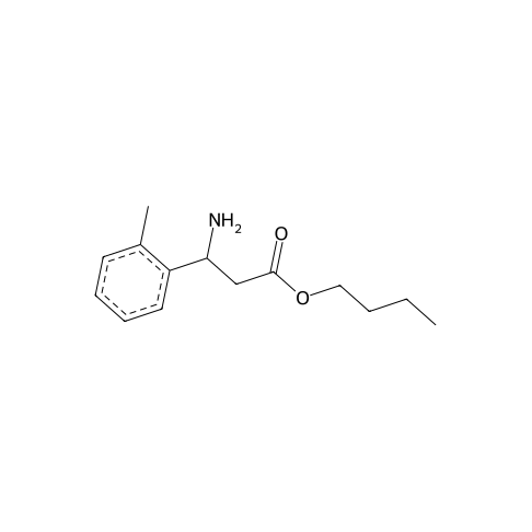 CCCCOC(=O)CC(N)c1ccccc1C